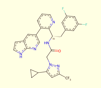 O=C(Cn1nc(C(F)(F)F)cc1C1CC1)N[C@@H](Cc1cc(F)cc(F)c1)c1ncccc1-c1cnc2[nH]ccc2c1